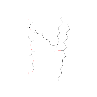 CCCCCCCC(CCCCCC)OC(CCCCCC)CCCCCCC.OCCOCCOCCOCCO